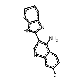 Nc1c(-c2nc3ccccc3[nH]2)cnc2cc(Cl)ccc12